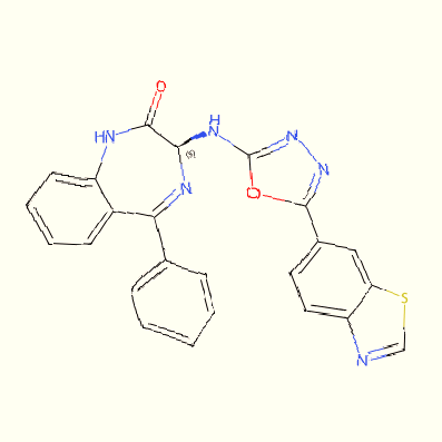 O=C1Nc2ccccc2C(c2ccccc2)=N[C@@H]1Nc1nnc(-c2ccc3ncsc3c2)o1